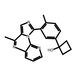 Cc1ccc(C2(O)CCC2)cc1-c1ncc2c(C)nc3cccnc3n12